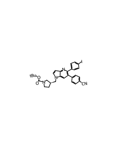 CC(C)(C)OC(=O)N1CC[C@H](Cn2ccc3nc(-c4ccc(I)cc4)c(-c4ccc(C#N)cc4)cc32)C1